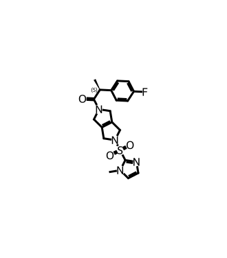 C[C@H](C(=O)N1CC2=C(C1)CN(S(=O)(=O)c1nccn1C)C2)c1ccc(F)cc1